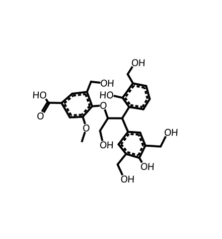 COc1cc(C(=O)O)cc(CO)c1OC(CO)C(c1cc(CO)c(O)c(CO)c1)c1cccc(CO)c1O